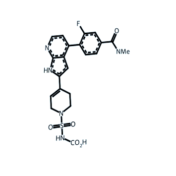 CNC(=O)c1ccc(-c2ccnc3[nH]c(C4=CCN(S(=O)(=O)NC(=O)O)CC4)cc23)c(F)c1